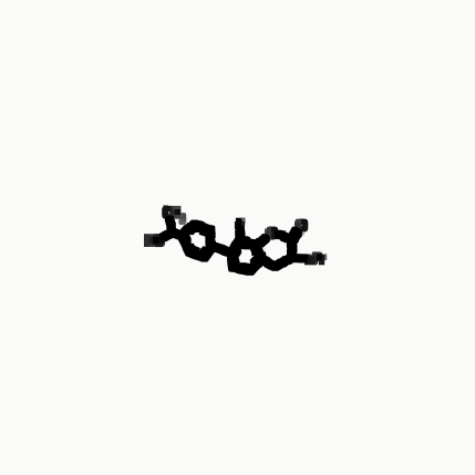 CCCC1Cc2ccc(-c3ccc(C(C)O)cc3)c(F)c2OC1=O